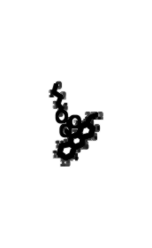 CCCCCOC(=O)Oc1c2ccccc2cc2ccc(CC)cc12